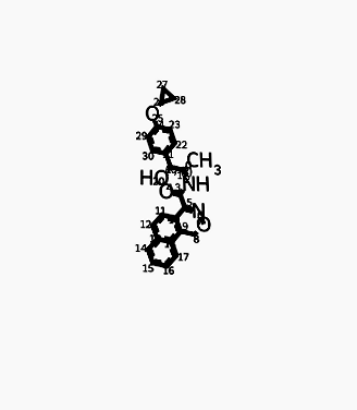 C[C@@H](NC(=O)C1=NOCc2c1ccc1ccccc21)[C@H](O)c1ccc(OC2CC2)cc1